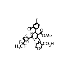 COC(=O)C1=C(CN2CCOC[C@H]2C(=O)O)NC(c2nc(C(C)(F)F)cs2)=N[C@H]1c1ccc(F)cc1Cl